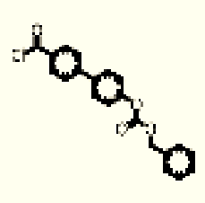 O=C(OCc1ccccc1)Oc1ccc(-c2ccc(C(=O)Cl)cc2)cc1